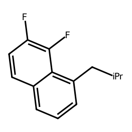 CC(C)Cc1cccc2ccc(F)c(F)c12